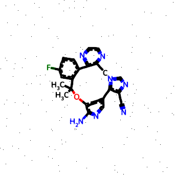 CC1(C)Oc2cc(cnc2N)-c2c(C#N)ncn2Cc2nccnc2-c2ccc(F)cc21